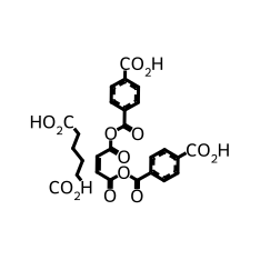 O=C(/C=C\C(=O)OC(=O)c1ccc(C(=O)O)cc1)OC(=O)c1ccc(C(=O)O)cc1.O=C(O)CCCCC(=O)O